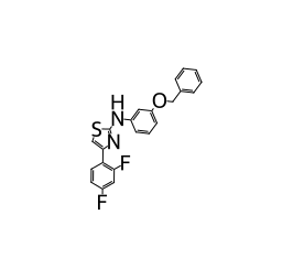 Fc1ccc(-c2csc(Nc3cccc(OCc4ccccc4)c3)n2)c(F)c1